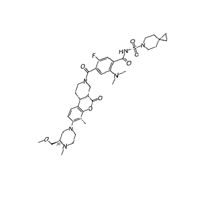 COC[C@H]1CN(c2ccc3c4c(c(=O)oc3c2C)CN(C(=O)c2cc(N(C)C)c(C(=O)NS(=O)(=O)N3CCC5(CC3)CC5)cc2F)CC4)CCN1C